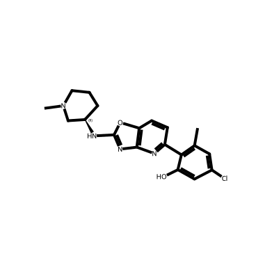 Cc1cc(Cl)cc(O)c1-c1ccc2oc(N[C@@H]3CCCN(C)C3)nc2n1